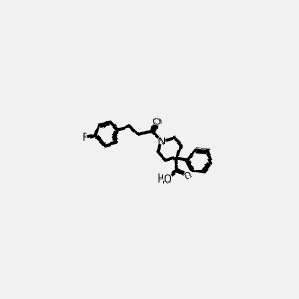 O=C(CCc1ccc(F)cc1)N1CCC(C(=O)O)(c2ccccc2)CC1